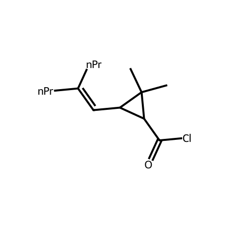 CCCC(=CC1C(C(=O)Cl)C1(C)C)CCC